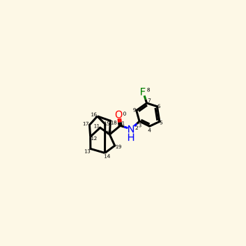 O=C(Nc1cccc(F)c1)C12CC3CC(CC(C3)C1)C2